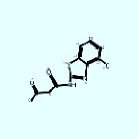 CC(=O)CC(=O)Nc1nc2c(Cl)cccc2s1